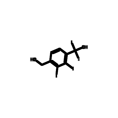 OCc1ccc(C(O)(I)I)c(I)c1I